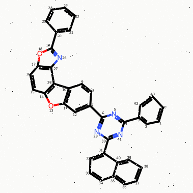 c1ccc(-c2nc(-c3ccc4c(c3)oc3ccc5oc(-c6ccccc6)nc5c34)nc(-c3cccc4ccccc34)n2)cc1